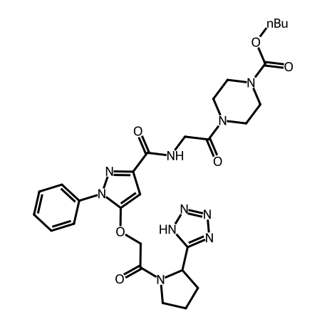 CCCCOC(=O)N1CCN(C(=O)CNC(=O)c2cc(OCC(=O)N3CCCC3c3nnn[nH]3)n(-c3ccccc3)n2)CC1